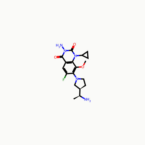 COc1c(N2CC[C@@H]([C@H](C)N)C2)c(F)cc2c(=O)n(N)c(=O)n(C3CC3)c12